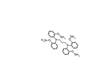 [SiH3]Oc1ccccc1P(CCCP(c1ccccc1O[SiH3])c1ccccc1O[SiH3])c1ccccc1O[SiH3]